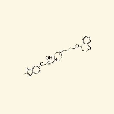 Cc1nc2cc(OC[C@H](O)CN3CCN(CCCCOC4CCOc5ccccc54)CC3)ccc2s1